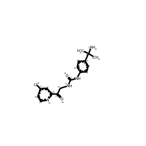 CC(C)(N)c1ccc(NC(=O)NCC(=O)c2cc(Cl)ccn2)cc1